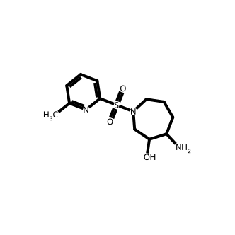 Cc1cccc(S(=O)(=O)N2CCCC(N)C(O)C2)n1